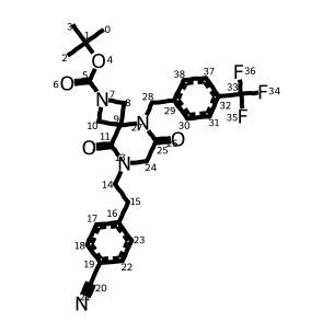 CC(C)(C)OC(=O)N1CC2(C1)C(=O)N(CCc1ccc(C#N)cc1)CC(=O)N2Cc1ccc(C(F)(F)F)cc1